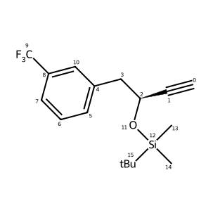 C#C[C@H](Cc1cccc(C(F)(F)F)c1)O[Si](C)(C)C(C)(C)C